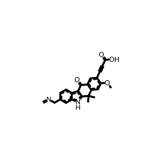 C=NCc1ccc2c3c([nH]c2c1)C(C)(C)c1cc(OC)c(C#CC(=O)O)cc1C3=O